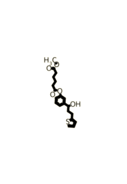 COC(=O)CCCCC1Oc2ccc(C(O)CCc3cccs3)cc2O1